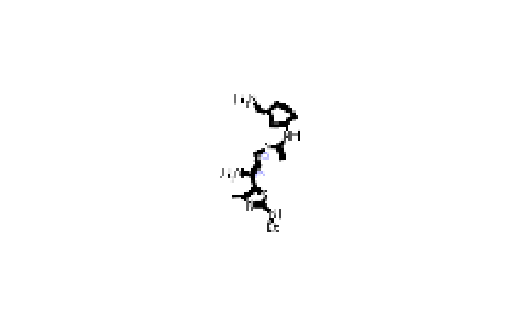 C=C(/N=C\C=C(/N)c1sc(NCC)nc1C)Nc1cccc(CN)c1